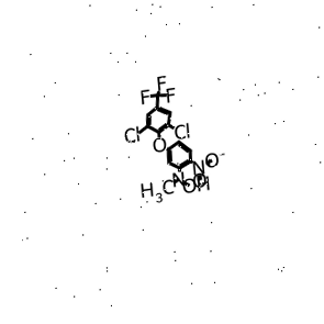 CN(O)c1cc(Oc2c(Cl)cc(C(F)(F)F)cc2Cl)ccc1[N+](=O)[O-]